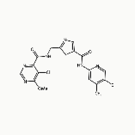 COc1ncnc(C(=O)NCc2ncc(C(=O)Nc3cc(C(F)(F)F)c(Cl)cn3)s2)c1Cl